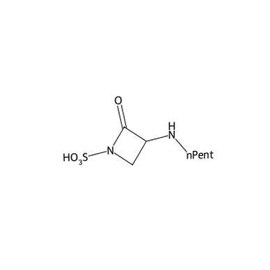 CCCCCNC1CN(S(=O)(=O)O)C1=O